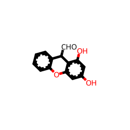 O=CC1c2ccccc2Oc2cc(O)cc(O)c21